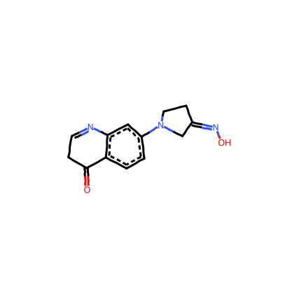 O=C1CC=Nc2cc(N3CCC(=NO)C3)ccc21